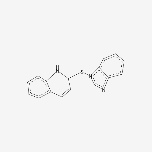 C1=CC(Sn2cnc3ccccc32)Nc2ccccc21